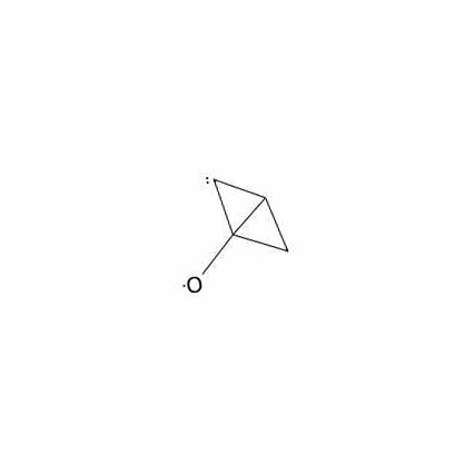 [O]C12[C]C1C2